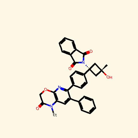 CCN1C(=O)COc2nc(-c3ccc([C@]4(N5C(=O)c6ccccc6C5=O)C[C@@](C)(O)C4)cc3)c(-c3ccccc3)cc21